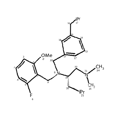 COc1cccc(F)c1CN(Cc1cccc(CC(C)C)c1)[C@@H](CC(C)C)CN(C)C